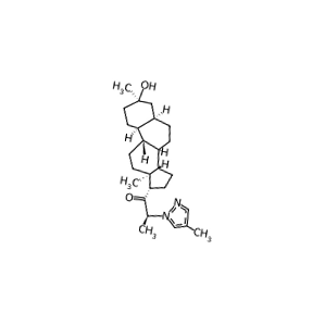 Cc1cnn([C@@H](C)C(=O)[C@H]2CC[C@H]3[C@@H]4CC[C@@H]5C[C@](C)(O)CC[C@@H]5[C@H]4CC[C@]23C)c1